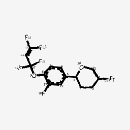 CCCC1CCC(c2ccc(OC(F)(F)C=C(F)F)c(F)c2)OC1